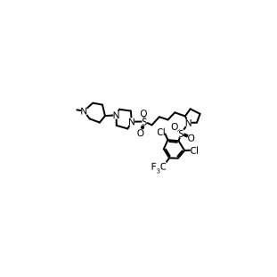 CN1CCC(N2CCN(S(=O)(=O)CCCCC3CCCN3S(=O)(=O)c3c(Cl)cc(C(F)(F)F)cc3Cl)CC2)CC1